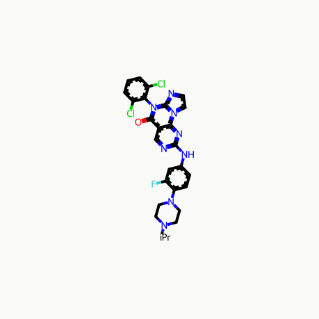 CC(C)N1CCN(c2ccc(Nc3ncc4c(=O)n(-c5c(Cl)cccc5Cl)c5nccn5c4n3)cc2F)CC1